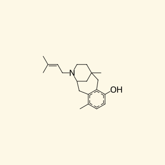 CC(C)=CCN1CCC2(C)Cc3c(O)ccc(C)c3CC1C2